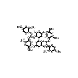 CCCC(C)c1cc(OC)cc(-c2cc(OC)cc(C)c2OP(Oc2ccc(C(C)(C)C)cc2C(C)(C)C)Oc2ccc(C(C)(C)C)cc2C(C)(C)C)c1OP(Oc1ccc(C(C)(C)C)cc1C(C)(C)C)Oc1ccc(C(C)(C)C)cc1C(C)(C)C